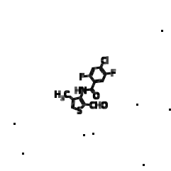 Cc1csc(C=O)c1NC(=O)c1cc(F)c(Cl)cc1F